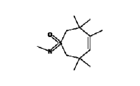 CN=S1(=O)CC(C)(C)C=C(C)C(C)(C)C1